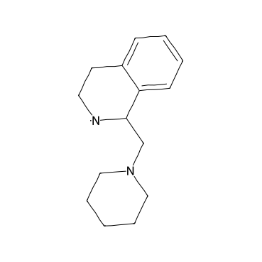 c1ccc2c(c1)CC[N]C2CN1CCCCC1